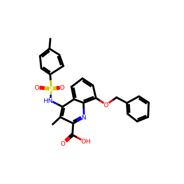 Cc1ccc(S(=O)(=O)Nc2c(C)c(C(=O)O)nc3c(OCc4ccccc4)cccc23)cc1